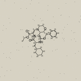 CCOC(=O)/C(=C/N1CCOCC1)NC(=O)[C@H](CC1CCCCC1)NC(=O)OCc1ccccc1